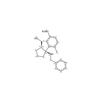 CC(=O)Nc1ccc(F)c([C@]2(NCc3ccccc3)COC[C@H]2CO)c1